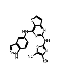 CC(C)(C)c1nc(Nc2nc(Nc3ccc4[nH]ncc4c3)c3sccc3n2)sc1C#N